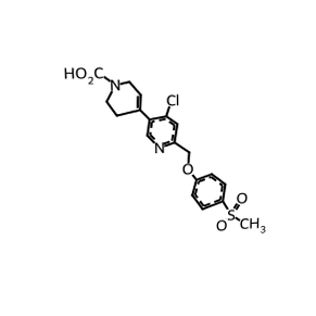 CS(=O)(=O)c1ccc(OCc2cc(Cl)c(C3=CCN(C(=O)O)CC3)cn2)cc1